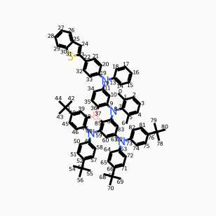 Cc1cccc(C)c1N1c2cc(N(c3ccccc3)c3ccc(-c4cc5ccccc5s4)cc3)ccc2B2c3cc(C(C)(C)C)ccc3N(c3ccc(C(C)(C)C)cc3)c3cc(N(c4ccc(C(C)(C)C)cc4)c4ccc(C(C)(C)C)cc4)cc1c32